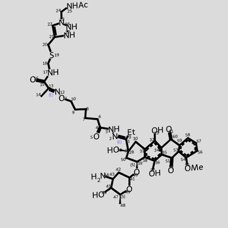 CC/C(=N\NC(=O)CCCCCO/N=C(\C)C(=O)NCSCC1=CN(CNC(C)=O)NN1)[C@]1(O)Cc2c(O)c3c(c(O)c2[C@@H](OC2CC(N)C(O)[C@H](C)O2)C1)C(=O)c1c(OC)cccc1C3=O